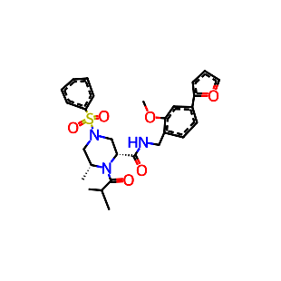 COc1cc(-c2ccco2)ccc1CNC(=O)[C@H]1CN(S(=O)(=O)c2ccccc2)C[C@@H](C)N1C(=O)C(C)C